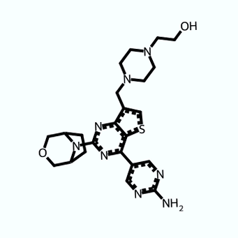 Nc1ncc(-c2nc(N3C4CCC3COC4)nc3c(CN4CCN(CCO)CC4)csc23)cn1